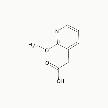 COc1ncccc1CC(=O)O